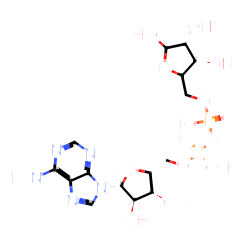 Nc1ncnc2c1ncn2[C@@H]1O[C@H](COP(=O)(O)OP(=O)(O)OCC2OC(O)[C@H](O)[C@@H]2O)[C@@H](O)[C@H]1O